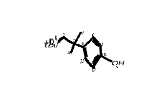 CC(C)(C)CC(C)(C)c1c[c]c(O)cc1